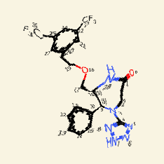 O=C1CN(c2nn[nH]n2)[C@@H](c2ccccc2)[C@@H](COCc2cc(C(F)(F)F)cc(C(F)(F)F)c2)N1